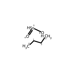 CCCC.[O]=[SnH][OH]